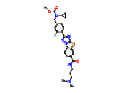 CCN(CC)CCCNC(=O)c1ccc2c(c1)sc1nc(-c3ccc(CN(C(=O)OC(C)(C)C)C4CC4)cc3F)nn12